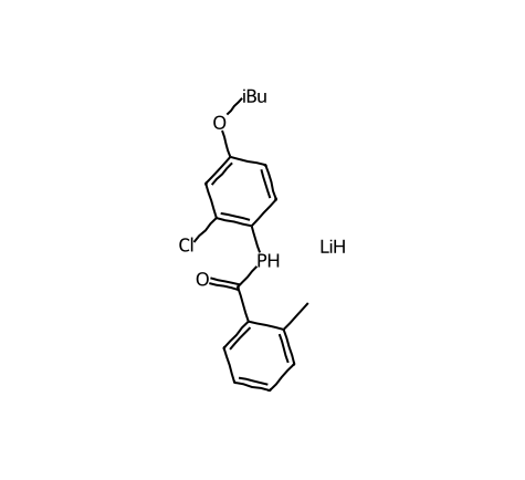 CCC(C)Oc1ccc(PC(=O)c2ccccc2C)c(Cl)c1.[LiH]